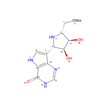 COC[C@H]1N[C@@H](c2c[nH]c3c(=O)[nH]cnc23)[C@H](O)[C@@H]1O